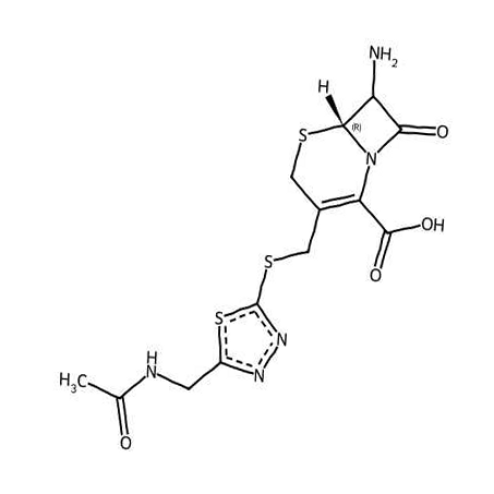 CC(=O)NCc1nnc(SCC2=C(C(=O)O)N3C(=O)C(N)[C@H]3SC2)s1